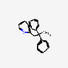 CC(Cc1ccccn1)(c1ccccc1)c1ccccc1